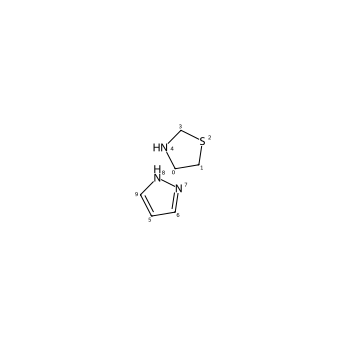 C1CSCN1.c1cn[nH]c1